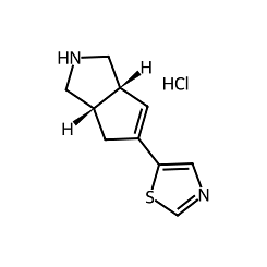 C1=C(c2cncs2)C[C@@H]2CNC[C@H]12.Cl